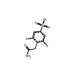 CCS(=O)(=O)c1cc(F)c(CC(N)=O)c(F)c1